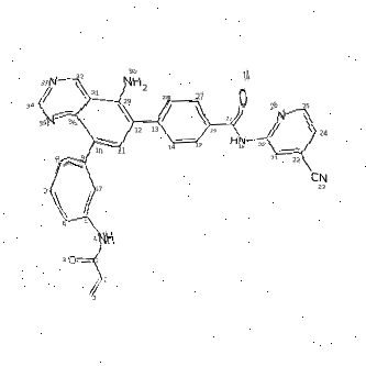 C=CC(=O)Nc1cccc(-c2cc(-c3ccc(C(=O)Nc4cc(C#N)ccn4)cc3)c(N)c3cncnc23)c1